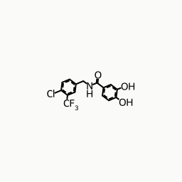 O=C(NCc1ccc(Cl)c(C(F)(F)F)c1)c1ccc(O)c(O)c1